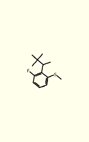 CSc1cccc(F)c1C(C)C(C)(C)C